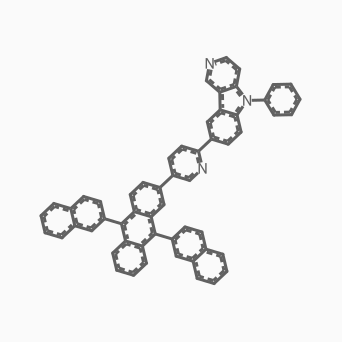 c1ccc(-n2c3ccncc3c3cc(-c4ccc(-c5ccc6c(-c7ccc8ccccc8c7)c7ccccc7c(-c7ccc8ccccc8c7)c6c5)cn4)ccc32)cc1